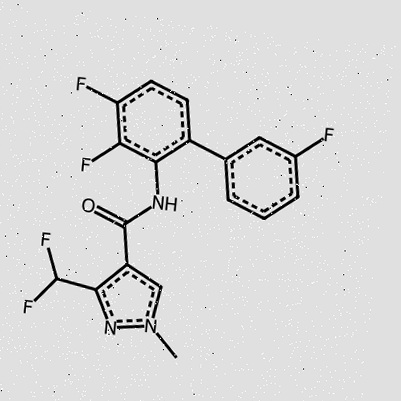 Cn1cc(C(=O)Nc2c(-c3cccc(F)c3)ccc(F)c2F)c(C(F)F)n1